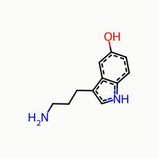 NCCCc1c[nH]c2ccc(O)cc12